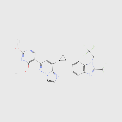 COc1ncc(-c2cc([C@H]3C[C@@H]3c3ccc4nc(C(F)F)n(CC(F)(F)F)c4c3)c3nccn3n2)c(OC)n1